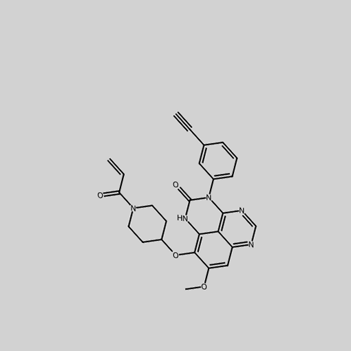 C#Cc1cccc(N2C(=O)Nc3c(OC4CCN(C(=O)C=C)CC4)c(OC)cc4ncnc2c34)c1